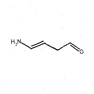 NC=CCC=O